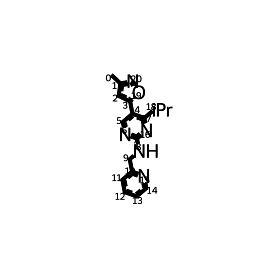 Cc1cc(-c2cnc(NCc3ccccn3)nc2C(C)C)on1